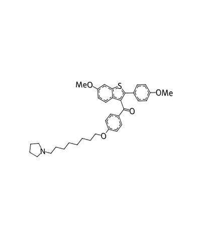 COc1ccc(-c2sc3cc(OC)ccc3c2C(=O)c2ccc(OCCCCCCCCN3CCCC3)cc2)cc1